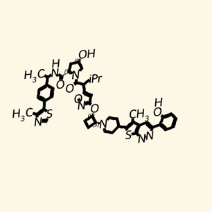 Cc1ncsc1-c1ccc(C(C)NC(=O)[C@@H]2C[C@@H](O)CN2C(=O)C(c2cc(O[C@H]3CC[C@@H]3N3CCC(c4sc5nnc(-c6ccccc6O)cc5c4C)CC3)no2)C(C)C)cc1